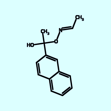 CC=NOC(C)(O)c1ccc2ccccc2c1